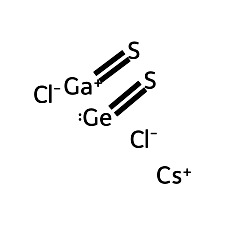 [Cl-].[Cl-].[Cs+].[S]=[Ga+].[S]=[Ge]